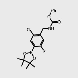 CC(C)(C)OC(=O)NCc1cc(F)c(B2OC(C)(C)C(C)(C)O2)cc1Cl